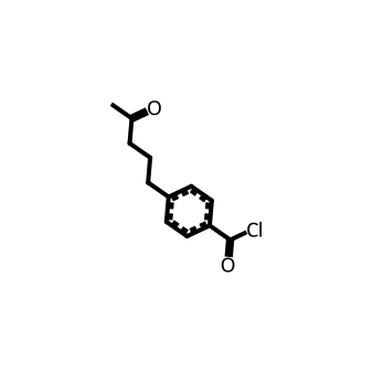 CC(=O)CCCc1ccc(C(=O)Cl)cc1